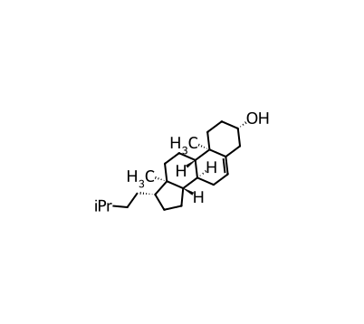 CC(C)CC[C@H]1CC[C@H]2[C@@H]3CC=C4C[C@@H](O)CC[C@]4(C)[C@H]3CC[C@]12C